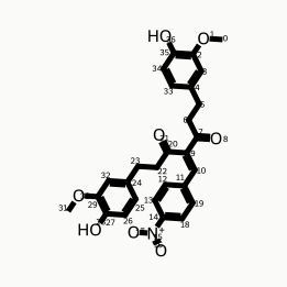 COc1cc(CCC(=O)C(=Cc2ccc([N+](=O)[O-])cc2)C(=O)CCc2ccc(O)c(OC)c2)ccc1O